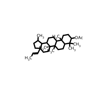 C/C=C/C12CCC(C)C1C1CCC3C4(C)CCC(OC(C)=O)C(C)(C)C4CCC3(C)[C@]1(C)CC2